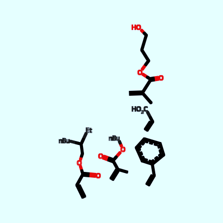 C=C(C)C(=O)OCCCC.C=C(C)C(=O)OCCCO.C=CC(=O)O.C=CC(=O)OCC(CC)CCCC.C=Cc1ccccc1